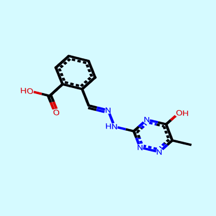 Cc1nnc(N/N=C/c2ccccc2C(=O)O)nc1O